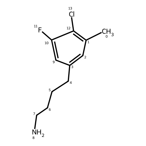 Cc1cc(CCCCN)cc(F)c1Cl